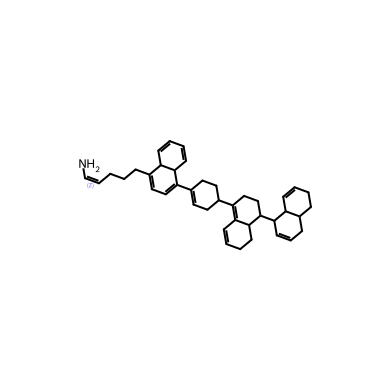 N/C=C\CCCC1=CC=C(C2=CCC(C3=C4C=CCCC4C(C4C=CCC5CCC=CC54)CC3)CC2)C2C=CC=CC12